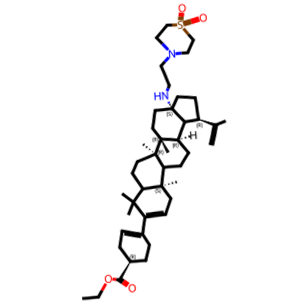 C=C(C)[C@@H]1CC[C@]2(NCCN3CCS(=O)(=O)CC3)CC[C@]3(C)[C@H](CCC4[C@@]5(C)CC=C(C6=CC[C@H](C(=O)OCC)CC6)C(C)(C)C5CC[C@]43C)C12